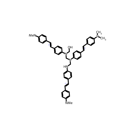 CNc1ccc(/C=C/c2ccc(NCN(CN(CO)c3ccc(/C=C/c4ccc(NC)cc4)cc3)c3ccc(/C=C/c4ccc(N(C)C)cc4)cc3)cc2)cc1